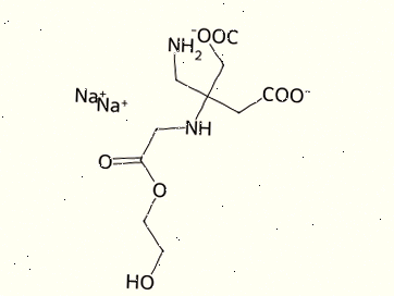 NCC(CC(=O)[O-])(CC(=O)[O-])NCC(=O)OCCO.[Na+].[Na+]